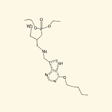 CCCCOc1ncnc2c(CNCC(CO)CP(=O)(OCC)OCC)c[nH]c12